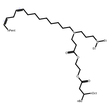 CCCCC/C=C\C/C=C\CCCCCCCCN(CCCN(CC)CC)CCC(=O)OCCOC(=O)CC(CCCC)CCCCCCCC